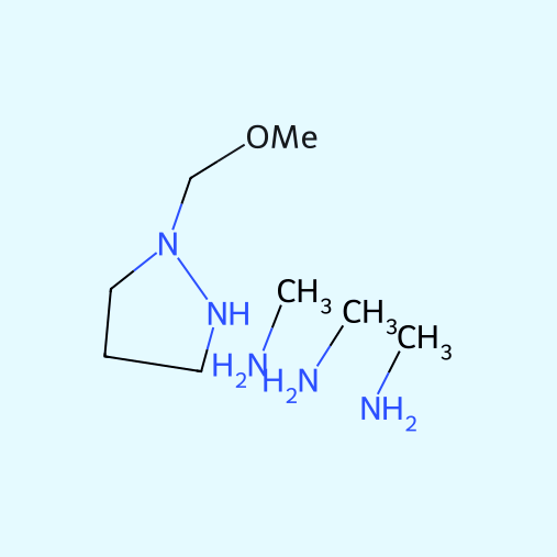 CN.CN.CN.COCN1CCCN1